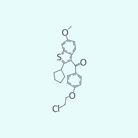 COc1ccc2c(C(=O)c3ccc(OCCCl)cc3)c(C3CCCC3)sc2c1